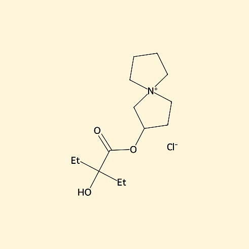 CCC(O)(CC)C(=O)OC1CC[N+]2(CCCC2)C1.[Cl-]